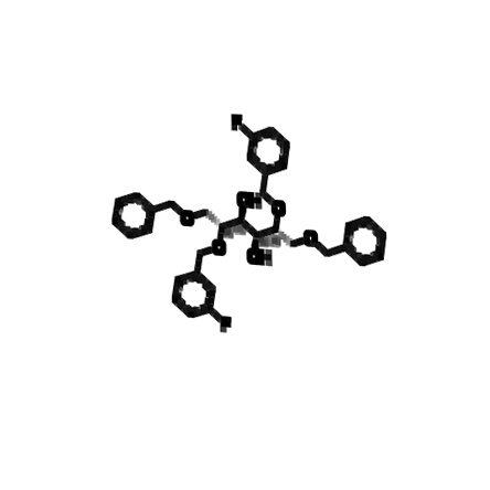 O[C@@H]([C@H](O)[C@@H](COCc1ccccc1)OCc1cccc(F)c1)[C@@H](COCc1ccccc1)OCc1cccc(F)c1